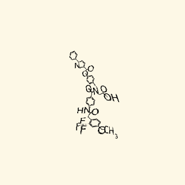 COc1ccc(CC(=O)Nc2ccc(C(=O)N(CC(=O)O)Cc3ccc(OC(=O)c4ccc(-c5ccccc5)nc4)cc3)cc2)c(C(F)(F)F)c1